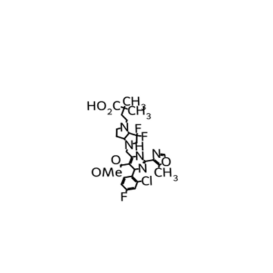 COC(=O)C1=C(CN2CC(F)(F)C3C2CCN3CCC(C)(C)C(=O)O)NC(c2ncoc2C)=NC1c1ccc(F)cc1Cl